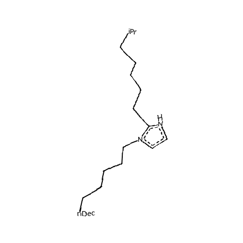 CCCCCCCCCCCCCCC[n+]1cc[nH]c1CCCCCC(C)C